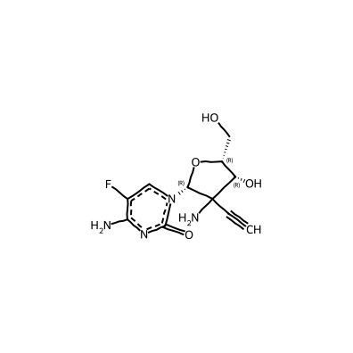 C#CC1(N)[C@@H](O)[C@@H](CO)O[C@H]1n1cc(F)c(N)nc1=O